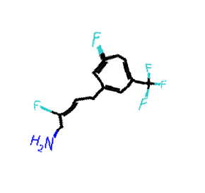 NC/C(F)=C\Cc1cc(F)cc(C(F)(F)F)c1